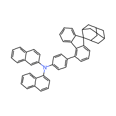 c1ccc2c(c1)-c1c(-c3ccc(N(c4ccc5ccccc5c4)c4cccc5ccccc45)cc3)cccc1C21C2CC3CC(C2)CC1C3